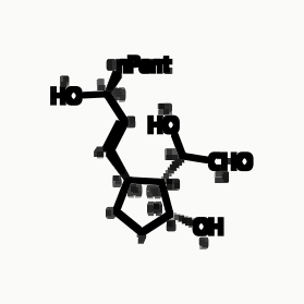 CCCCC[C@H](O)C=C[C@@H]1CC[C@@H](O)[C@H]1C(O)C=O